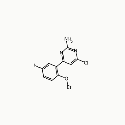 CCOc1ccc(I)cc1-c1cc(Cl)nc(N)n1